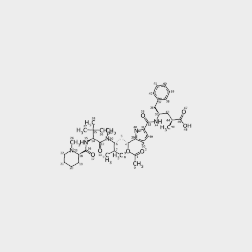 CC(=O)O[C@H](C[C@H](C(C)C)N(C)C(=O)[C@@H](NC(=O)[C@H]1CCCCN1C)C(C)(C)C)c1nc(C(=O)N[C@@H](Cc2ccccc2)C[C@H](C)C(=O)O)cs1